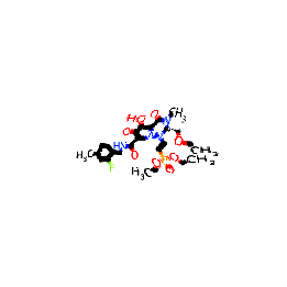 CCOC[C@H]1N(C)C(=O)c2c(O)c(=O)c(C(=O)NCc3ccc(C)cc3F)cn2N1CCP(=O)(OCC)OCC